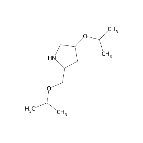 CC(C)OCC1CC(OC(C)C)CN1